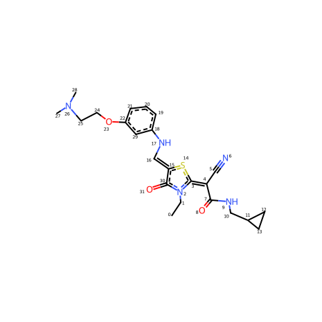 CCn1c(=C(C#N)C(=O)NCC2CC2)sc(=CNc2cccc(OCCN(C)C)c2)c1=O